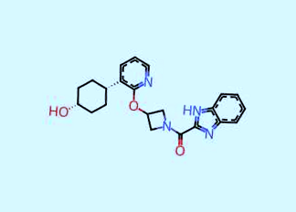 O=C(c1nc2ccccc2[nH]1)N1CC(Oc2ncccc2[C@H]2CC[C@@H](O)CC2)C1